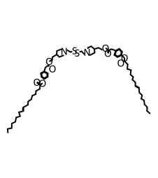 CCCCCCCC/C=C/CCCCCCCC(=O)Oc1ccc(CC(=O)OCCC2CCN(CCSSCCN3CCC(CCOC(=O)Cc4ccc(OC(=O)CCCCCCC/C=C/CCCCCCCC)cc4)CC3)CC2)cc1